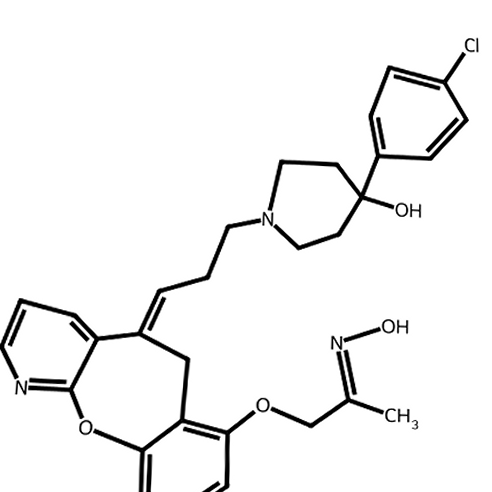 CC(COc1cccc2c1CC(=CCCN1CCC(O)(c3ccc(Cl)cc3)CC1)c1cccnc1O2)=NO